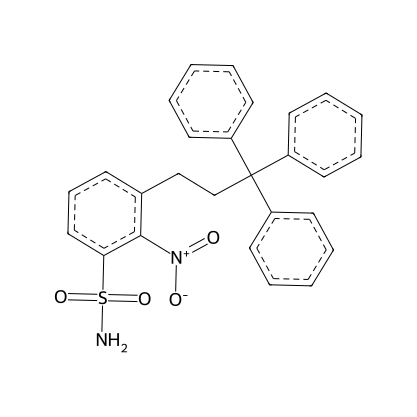 NS(=O)(=O)c1cccc(CCC(c2ccccc2)(c2ccccc2)c2ccccc2)c1[N+](=O)[O-]